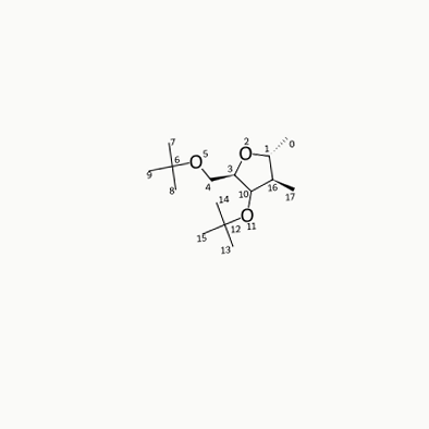 C[C@H]1O[C@H](COC(C)(C)C)C(OC(C)(C)C)[C@@H]1C